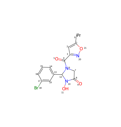 CC(C)c1cc(C(=O)N2CC(=O)N(O)C2c2cccc(Br)c2)no1